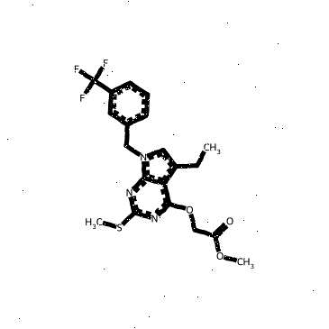 CCc1cn(Cc2cccc(C(F)(F)F)c2)c2nc(SC)nc(OCC(=O)OC)c12